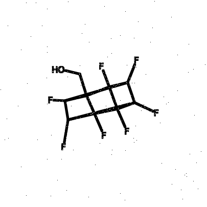 OCC12C3(F)C4(F)C5(F)C3(F)C1(F)C5(F)C42F